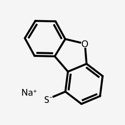 [Na+].[S-]c1cccc2oc3ccccc3c12